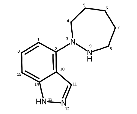 c1cc(N2CCCCCN2)c2cn[nH]c2c1